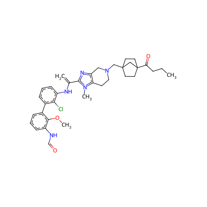 C=C(Nc1cccc(-c2cccc(NC=O)c2OC)c1Cl)c1nc2c(n1C)CCN(CC13CCC(C(=O)CCC)(CC1)C3)C2